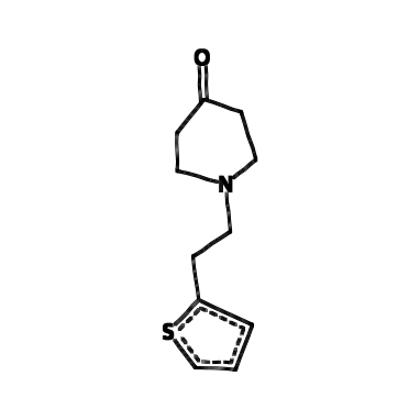 O=C1CCN(CCc2cccs2)CC1